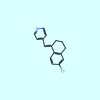 Clc1ccc2c(c1)CCCC2=Cc1ccncc1